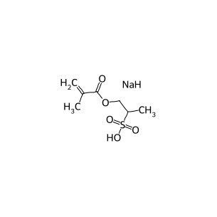 C=C(C)C(=O)OCC(C)S(=O)(=O)O.[NaH]